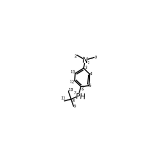 CN(C)c1ccc(PC(C)(C)C)cc1